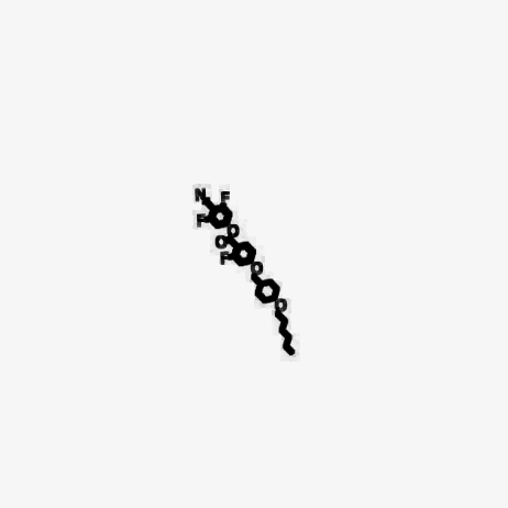 CCCCCCOC1CCC(COc2ccc(C(=O)Oc3cc(F)c(C#N)c(F)c3)c(F)c2)CC1